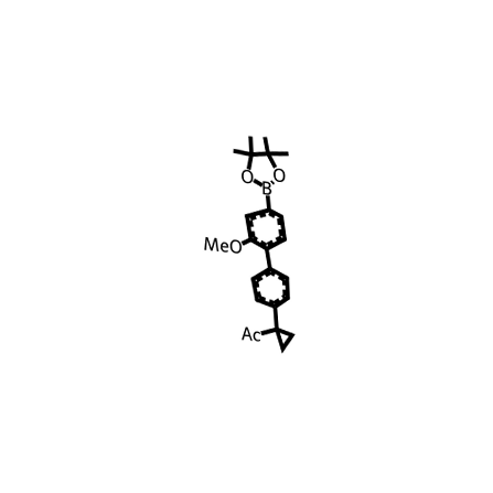 COc1cc(B2OC(C)(C)C(C)(C)O2)ccc1-c1ccc(C2(C(C)=O)CC2)cc1